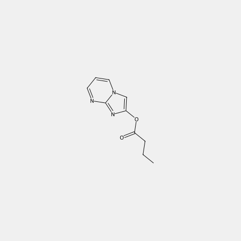 CCCC(=O)Oc1cn2cccnc2n1